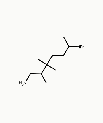 CC(C)C(C)CCC(C)(C)C(C)CN